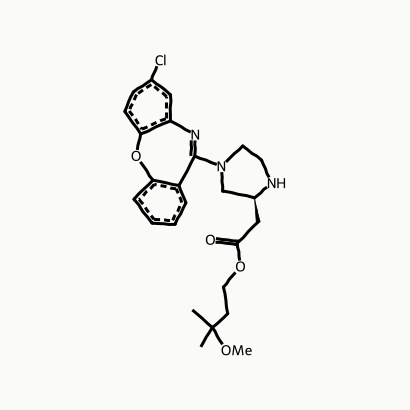 COC(C)(C)CCOC(=O)C[C@H]1CN(C2=Nc3cc(Cl)ccc3Oc3ccccc32)CCN1